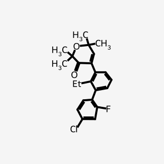 CCc1c(C2=CC(C)(C)OC(C)(C)C2=O)cccc1-c1ccc(Cl)cc1F